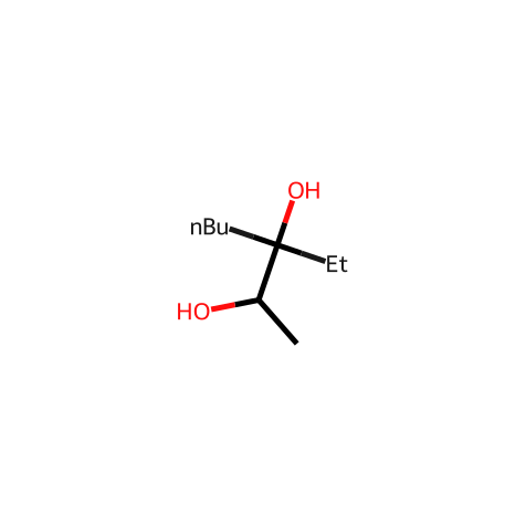 CCCCC(O)(CC)C(C)O